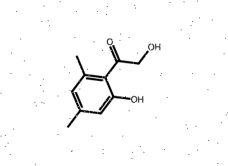 Cc1cc(C)c(C(=O)CO)c(O)c1